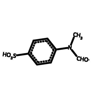 CN([C]=O)c1ccc(S(=O)(=O)O)cc1